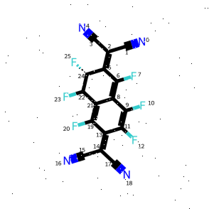 N#CC(C#N)=C1C(F)=c2c(F)c(F)c(=C(C#N)C#N)c(F)c2C(F)[C@@H]1F